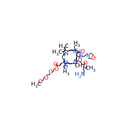 CCC1=C(C)c2cc3[nH]c(cc4nc(c5c6[nH]c(cc1n2)c(C)c6C(=O)N(CCN1CCOCC1)C5=O)[C@@H](CCC(=O)N(C)CCN)[C@@H]4C)c(C)c3/C=C/C(=O)OCCOCCOCCOC